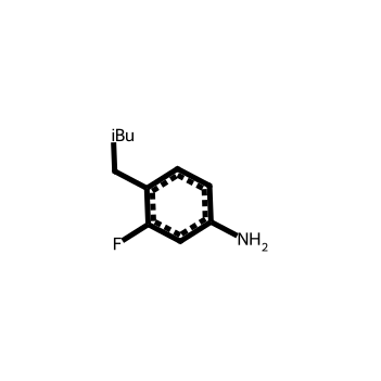 CCC(C)Cc1ccc(N)cc1F